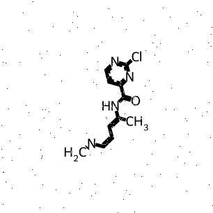 C=N/C=C\C=C(/C)NC(=O)c1ccnc(Cl)n1